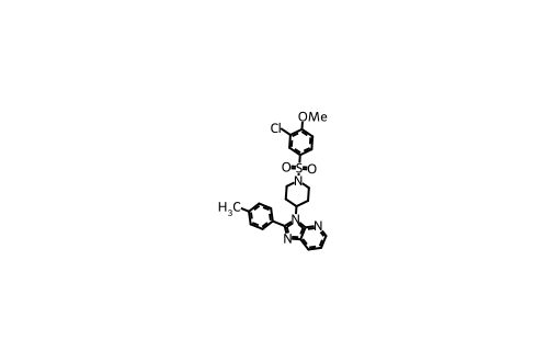 COc1ccc(S(=O)(=O)N2CCC(n3c(-c4ccc(C)cc4)nc4cccnc43)CC2)cc1Cl